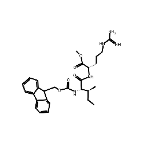 CC[C@H](C)[C@H](NC(=O)OCC1c2ccccc2-c2ccccc21)C(=O)N[C@@H](CCCNC(=N)N)C(=O)OC